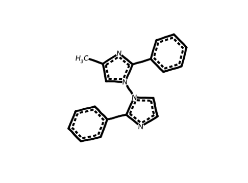 Cc1cn(-n2ccnc2-c2ccccc2)c(-c2ccccc2)n1